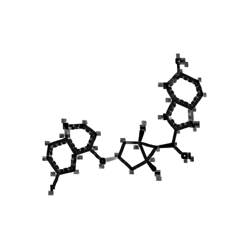 Cc1ccc2[nH]c(C(C)[C@H]3[C@@H]4C[C@H](Oc5ccnc6ccc(F)cc56)C[C@@H]43)nc2n1